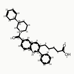 O=C(O)CCCCc1cc2cc(C(=O)N3CCC[C@H](C4C=CC=CC4)C3)ccc2nc1-c1ccccc1